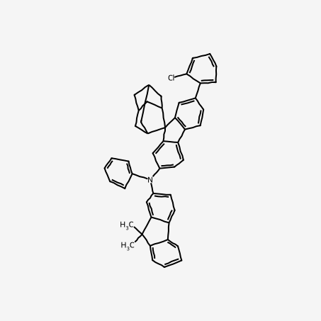 CC1(C)c2ccccc2-c2ccc(N(c3ccccc3)c3ccc4c(c3)C3(c5cc(-c6ccccc6Cl)ccc5-4)C4CC5CC(C4)CC3C5)cc21